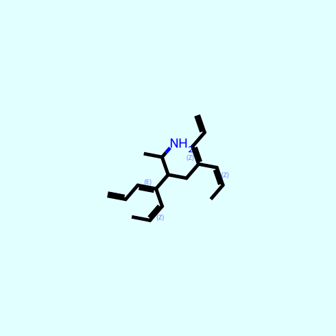 C=C/C=C(\C=C/C)CC(C(/C=C\C)=C/C=C)C(C)N